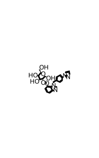 OC[C@H]1O[C@@H](O)[C@H](OOc2cccc3ncn(Cc4ccc(-n5cccn5)cc4)c23)[C@@H](O)[C@@H]1O